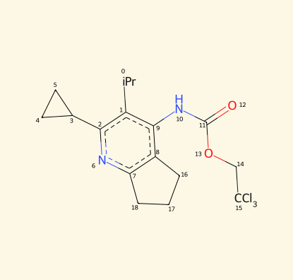 CC(C)c1c(C2CC2)nc2c(c1NC(=O)OCC(Cl)(Cl)Cl)CCC2